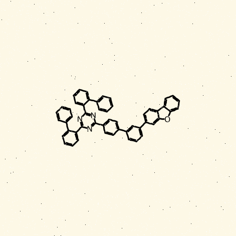 c1ccc(-c2ccccc2-c2nc(-c3ccc(-c4cccc(-c5ccc6c(c5)oc5ccccc56)c4)cc3)nc(-c3ccccc3-c3ccccc3)n2)cc1